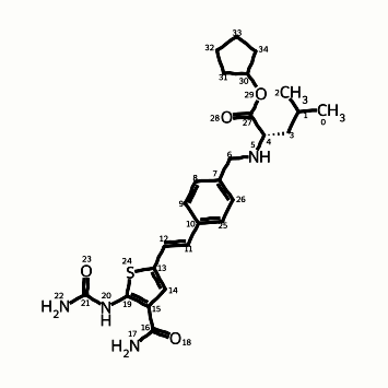 CC(C)C[C@H](NCc1ccc(/C=C/c2cc(C(N)=O)c(NC(N)=O)s2)cc1)C(=O)OC1CCCC1